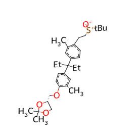 CCC(CC)(c1ccc(CC[S+]([O-])C(C)(C)C)c(C)c1)c1ccc(OC[C@@H]2COC(C)(C)O2)c(C)c1